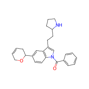 O=C(c1ccccc1)n1cc(CCC2CCCN2)c2cc(C3CC=CCO3)ccc21